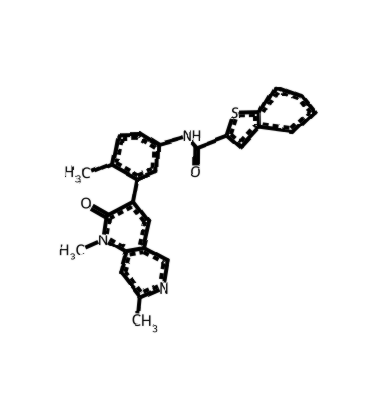 Cc1cc2c(cn1)cc(-c1cc(NC(=O)c3cc4ccccc4s3)ccc1C)c(=O)n2C